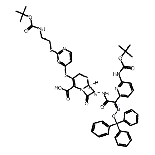 CC(C)(C)OC(=O)NCCSc1nccc(SC2=C(C(=O)O)N3C(=O)[C@@H](NC(=O)/C(=N\OC(c4ccccc4)(c4ccccc4)c4ccccc4)c4cccc(NC(=O)OC(C)(C)C)n4)[C@@H]3SC2)n1